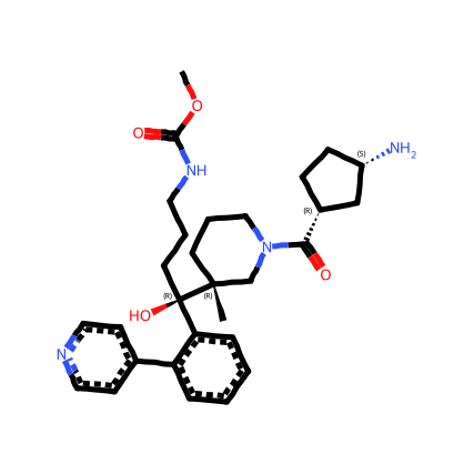 COC(=O)NCCC[C@@](O)(c1ccccc1-c1ccncc1)[C@]1(C)CCCN(C(=O)[C@@H]2CC[C@H](N)C2)C1